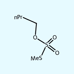 CCCCOS(=O)(=O)SC